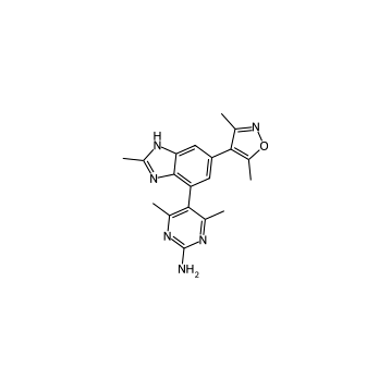 Cc1nc2c(-c3c(C)nc(N)nc3C)cc(-c3c(C)noc3C)cc2[nH]1